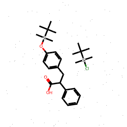 CC(C)(C)[Si](C)(C)Cl.CC(C)(C)[Si](C)(C)Oc1ccc(CC(C(=O)O)c2ccccc2)cc1